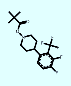 CC(C)(C)C(=O)ON1CCC(c2ccc(F)c(F)c2C(F)(F)F)CC1